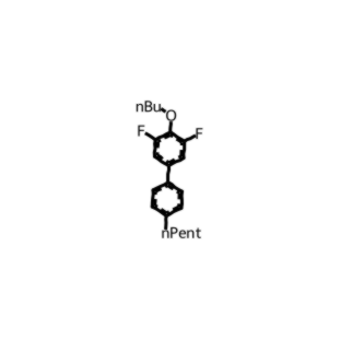 CCCCCc1ccc(-c2cc(F)c(OCCCC)c(F)c2)cc1